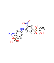 CC(O)S(=O)(=O)c1ccc(Nc2ccc(S(=O)(=O)O)c(N)c2)c([N+](=O)[O-])c1